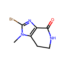 Cn1c(Br)nc2c1CCNC2=O